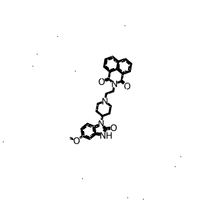 COc1ccc2c(c1)[nH]c(=O)n2C1CCN(CCN2C(=O)c3cccc4cccc(c34)C2=O)CC1